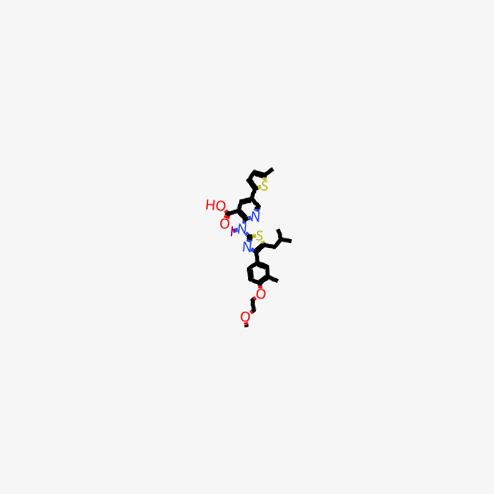 COCCOc1ccc(-c2nc(N(I)c3ncc(-c4ccc(C)s4)cc3C(=O)O)sc2CC(C)C)cc1C